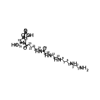 NCCCNCCCCNCCCNCCC(=O)NCCCCCC(=O)N1C[C@H](O[PH](=O)O)C[C@H]1CO